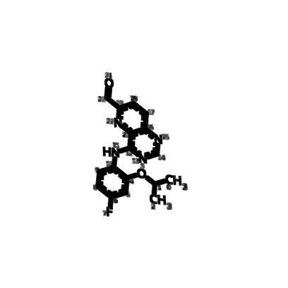 CC(C)Oc1cc(F)ccc1Nc1ncnc2ccc(C=O)nc12